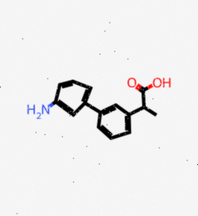 CC(C(=O)O)c1cccc(-c2cccc(N)c2)c1